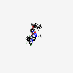 C=Nc1ccc(N2C[C@@H](F)C[C@@H]2c2cc(F)ccc2F)nc1/C(=C\C)NS(=O)(=O)N1CCC(O[Si](C)(C)C(C)(C)C)C1